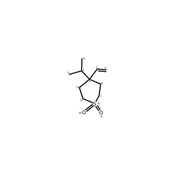 C=CC1(C(C)C)CCS(=O)(=O)CC1